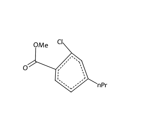 CCCc1ccc(C(=O)OC)c(Cl)c1